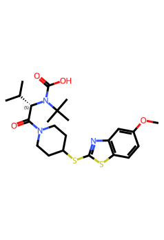 COc1ccc2sc(SC3CCN(C(=O)[C@H](C(C)C)N(C(=O)O)C(C)(C)C)CC3)nc2c1